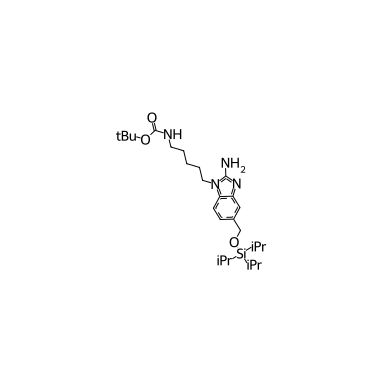 CC(C)[Si](OCc1ccc2c(c1)nc(N)n2CCCCCNC(=O)OC(C)(C)C)(C(C)C)C(C)C